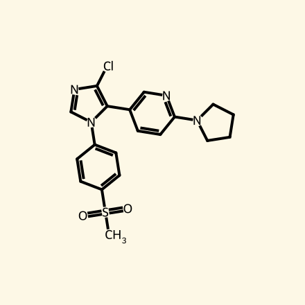 CS(=O)(=O)c1ccc(-n2cnc(Cl)c2-c2ccc(N3CCCC3)nc2)cc1